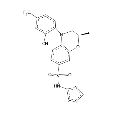 C[C@@H]1CN(c2ccc(C(F)(F)F)cc2C#N)c2ccc(S(=O)(=O)Nc3nccs3)cc2O1